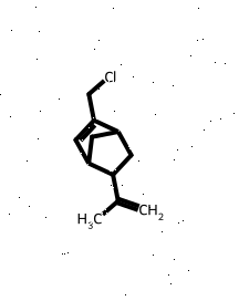 C=C(C)C1CC2CC1C=C2CCl